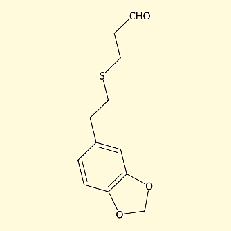 O=CCCSCCc1ccc2c(c1)OCO2